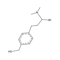 CC(C)C(CCc1ccc(CS)cc1)N(C)C